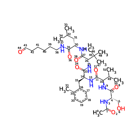 CC(=O)N[C@@H](CO)C(=O)N[C@@H](C(=O)N[C@@H](Cc1ccccc1C)C(=O)N[C@H](C(=O)N[C@@H](CC(C)C)C(=O)NCCCCCC=O)C(C)(C)C)C(C)C